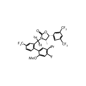 [2H]C([2H])(c1cc(C(F)(F)F)ccc1-c1cc(C(C)C)c(F)cc1OC)N1C(=O)O[C@H](c2cc(C(F)(F)F)cc(C(F)(F)F)c2)[C@@H]1C